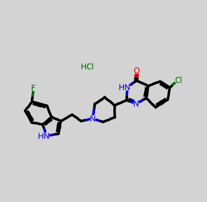 Cl.O=c1[nH]c(C2CCN(CCc3c[nH]c4ccc(F)cc34)CC2)nc2ccc(Cl)cc12